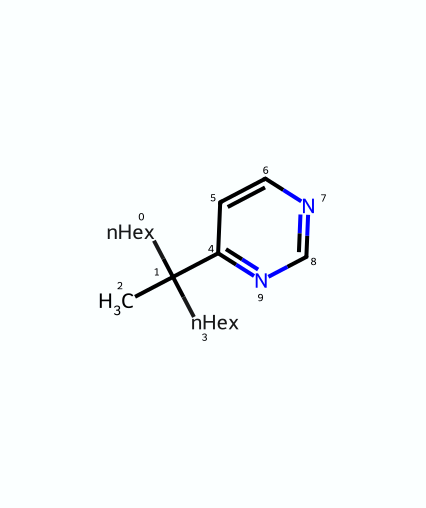 CCCCCCC(C)(CCCCCC)c1ccncn1